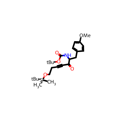 COc1ccc(CC(NC(=O)OC(C)(C)C)C(=O)C#CCCO[Si](C)(C)C(C)(C)C)cc1